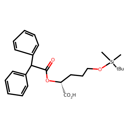 CC(C)(C)[Si](C)(C)OCCC[C@@H](OC(=O)C(c1ccccc1)c1ccccc1)C(=O)O